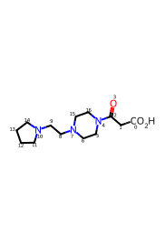 O=C(O)CC(=O)N1CCN(CCN2CCCC2)CC1